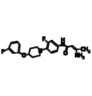 CC(N)=CC(=O)Nc1ccc(N2CCC(Oc3cccc(F)c3)CC2)c(F)c1